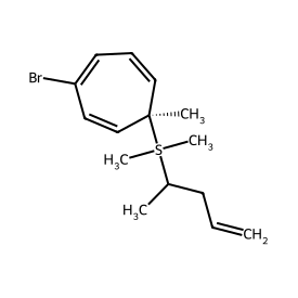 C=CCC(C)S(C)(C)[C@]1(C)C=CC=C(Br)C=C1